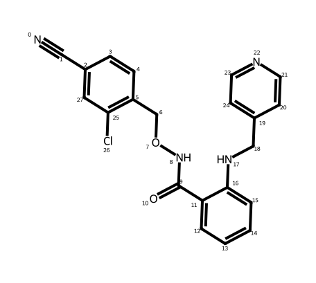 N#Cc1ccc(CONC(=O)c2ccccc2NCc2ccncc2)c(Cl)c1